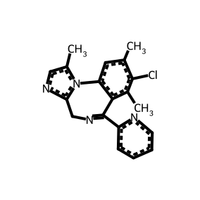 Cc1cc2c(c(C)c1Cl)C(c1ccccn1)=NCc1ncc(C)n1-2